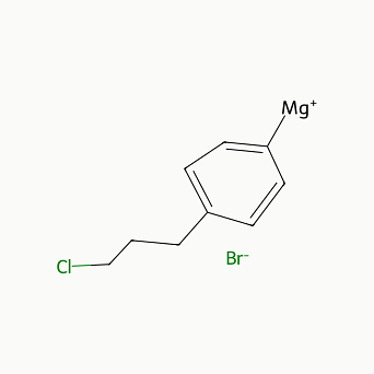 [Br-].[Mg+][c]1ccc(CCCCl)cc1